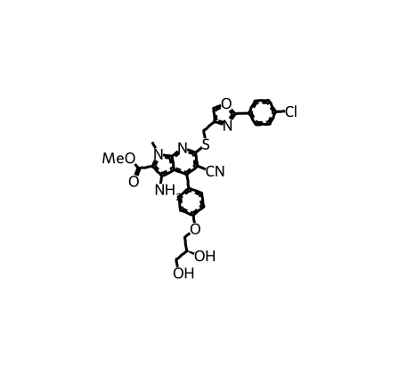 COC(=O)c1c(N)c2c(-c3ccc(OC[C@@H](O)CO)cc3)c(C#N)c(SCc3coc(-c4ccc(Cl)cc4)n3)nc2n1C